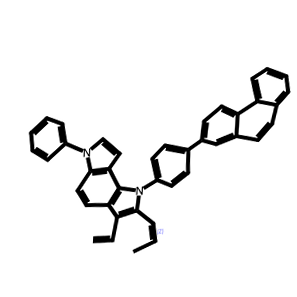 C=Cc1c(/C=C\C)n(-c2ccc(-c3ccc4c(ccc5ccccc54)c3)cc2)c2c1ccc1c2ccn1-c1ccccc1